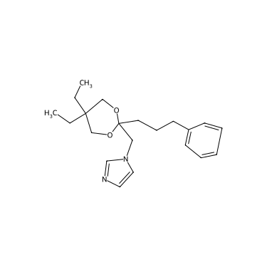 CCC1(CC)COC(CCCc2ccccc2)(Cn2ccnc2)OC1